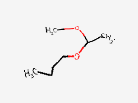 [CH2]C(OC)OCCC